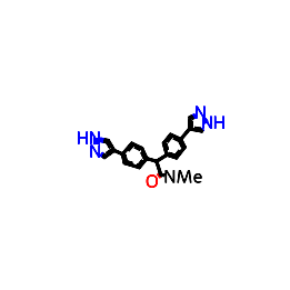 CNC(=O)C(c1ccc(-c2cn[nH]c2)cc1)c1ccc(-c2cn[nH]c2)cc1